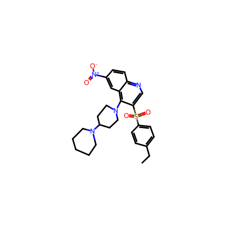 CCc1ccc(S(=O)(=O)c2cnc3ccc([N+](=O)[O-])cc3c2N2CCC(N3CCCCC3)CC2)cc1